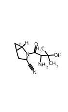 CC(C)(O)C(N)C(=O)N1C(C#N)CC2C[C@@H]21